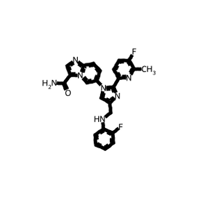 Cc1nc(-c2nc(CNc3ccccc3F)cn2-c2ccc3ncc(C(N)=O)n3c2)ccc1F